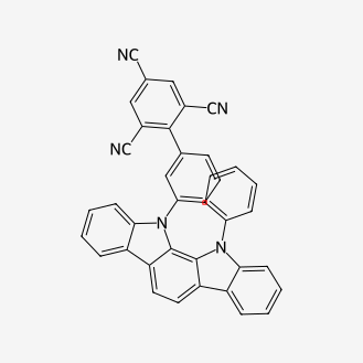 N#Cc1cc(C#N)c(-c2cccc(-n3c4ccccc4c4ccc5c6ccccc6n(-c6ccccc6)c5c43)c2)c(C#N)c1